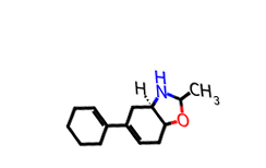 CC1N[C@@H]2CC(C3=CCCCC3)=CCC2O1